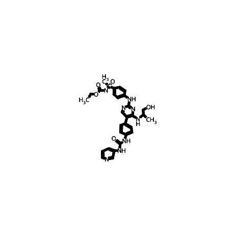 CCOC(=O)N=S(C)(=O)c1ccc(Nc2ncc(-c3ccc(NC(=O)Nc4cccnc4)cc3)c(NC(C)CO)n2)cc1